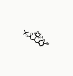 CC(C)(C)OC(=O)CC(Cc1ccc(Br)nc1)c1nnn[nH]1